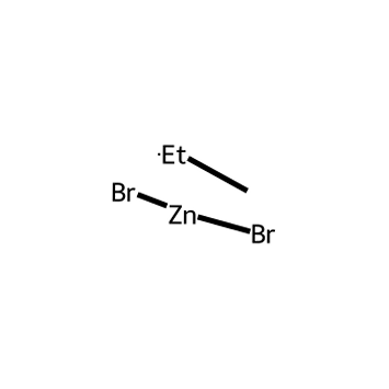 C[CH]C.[Br][Zn][Br]